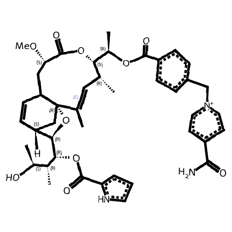 CO[C@H]1CC2C=C[C@@H]3C[C@]2(O[C@H]3[C@H](OC(=O)c2ccc[nH]2)[C@H](C)[C@H](C)O)/C(C)=C/[C@@H](C)[C@@H]([C@@H](C)OC(=O)c2ccc(C[n+]3ccc(C(N)=O)cc3)cc2)OC1=O